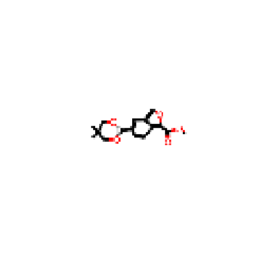 COC(=O)c1occ2cc(B3OCC(C)(C)CO3)ccc12